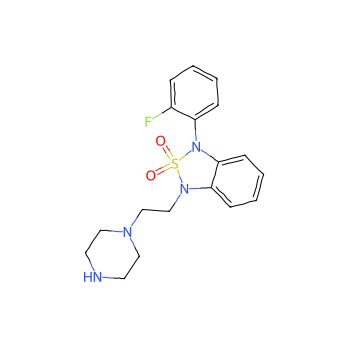 O=S1(=O)N(CCN2CCNCC2)c2ccccc2N1c1ccccc1F